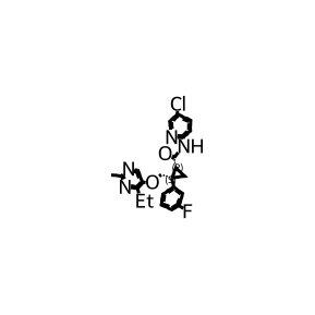 CCc1nc(C)ncc1OC[C@@]1(c2cccc(F)c2)C[C@H]1C(=O)Nc1ccc(Cl)cn1